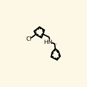 Clc1cccc(CN[CH]c2ccccc2)c1